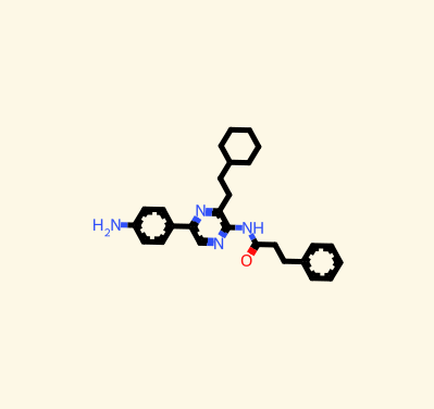 Nc1ccc(-c2cnc(NC(=O)CCc3ccccc3)c(CCC3CCCCC3)n2)cc1